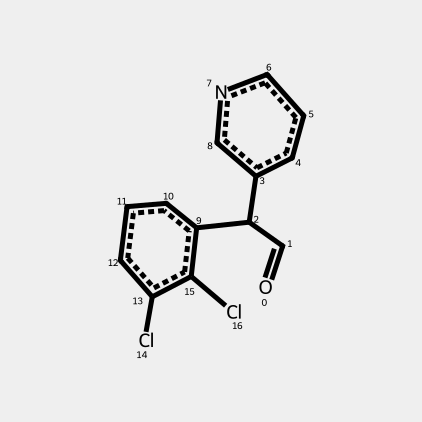 O=CC(c1cccnc1)c1cccc(Cl)c1Cl